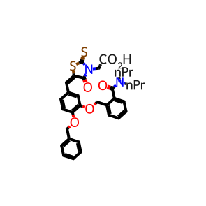 CCCN(CCC)C(=O)c1ccccc1COc1cc(C=C2SC(=S)N(CC(=O)O)C2=O)ccc1OCc1ccccc1